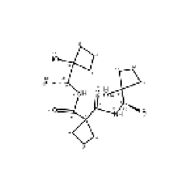 CC(C)[C@@H](NC(=O)C1(C(=O)N[C@H](C(C)C)C2(O)CCC2)CCC1)C1(O)CCC1